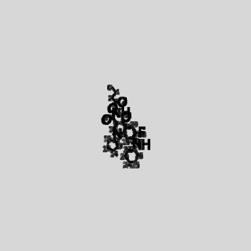 CCCC(=O)ONC(=O)c1cn(C2CCCC2)c2cc(NC3CCCCC3)c(F)cc2c1=O